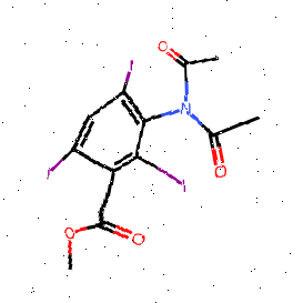 COC(=O)c1c(I)cc(I)c(N(C(C)=O)C(C)=O)c1I